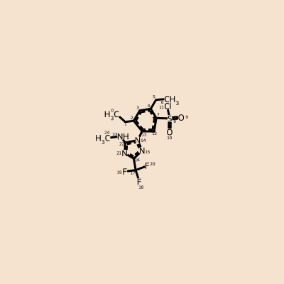 CCc1cc(CC)c(S(=O)(=O)Cl)cc1-n1nc(C(F)(F)F)nc1NC